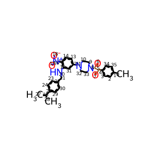 Cc1ccc(S(=O)(=O)N2CCN(c3ccc([N+](=O)[O-])c(NCc4ccc(C(C)C)cc4)c3)CC2)cc1